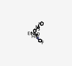 CCn1cc(C(=O)N/N=C/c2ccc(F)cc2)c2cc(-c3nc(CN4CCCCC4)cs3)ccc21